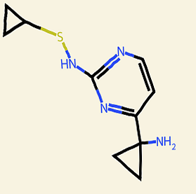 NC1(c2ccnc(NSC3CC3)n2)CC1